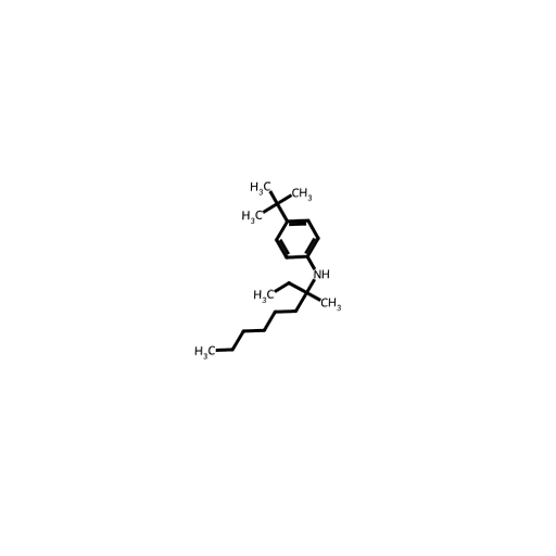 CCCCCCC(C)(CC)Nc1ccc(C(C)(C)C)cc1